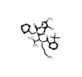 Cc1nn2c(=O)n(Cc3ccccc3)c(C(C(C)C)N(CCCN)C(=O)c3ccccc3C(F)(F)F)nc2c1Cl